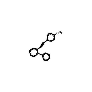 CCCc1ccc(C#Cc2ccccc2-c2ccccc2)cc1